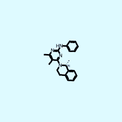 Cc1nc(Nc2ccccc2)nc(N2CCc3ccccc3[C@H]2C)c1C